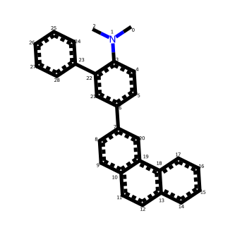 CN(C)c1ccc(-c2ccc3ccc4ccccc4c3c2)cc1-c1ccccc1